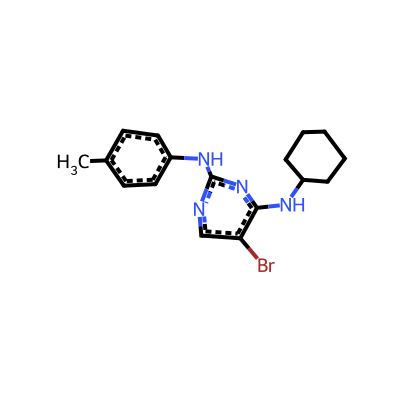 Cc1ccc(Nc2ncc(Br)c(NC3CCCCC3)n2)cc1